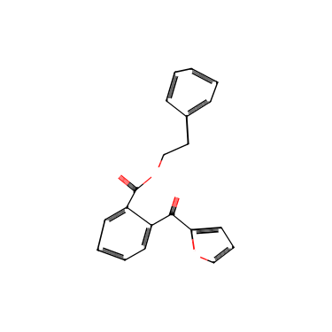 O=C(OCCc1ccccc1)c1ccccc1C(=O)c1ccco1